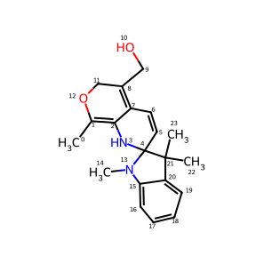 CC1=C2NC3(C=CC2=C(CO)CO1)N(C)c1ccccc1C3(C)C